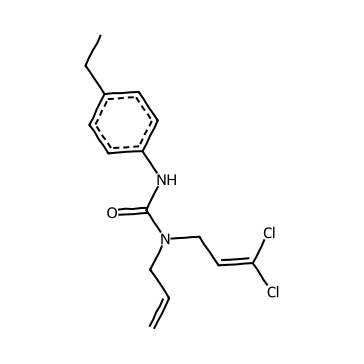 C=CCN(CC=C(Cl)Cl)C(=O)Nc1ccc(CC)cc1